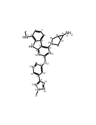 CNc1cccc2c1[nH]c1nc(Oc3cncc(-c4nnn(C)n4)c3)nc(N3CC4C(N)C4C3)c12